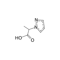 CC(C(=O)O)n1cccn1